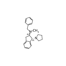 CN(Cc1ccccc1)[C@@H]1Cc2ccccc2[C@H]1N1CCCC1